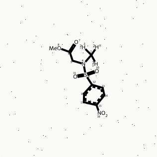 [2H]C([2H])([2H])N(CC(=O)OC)S(=O)(=O)c1ccc([N+](=O)[O-])cc1